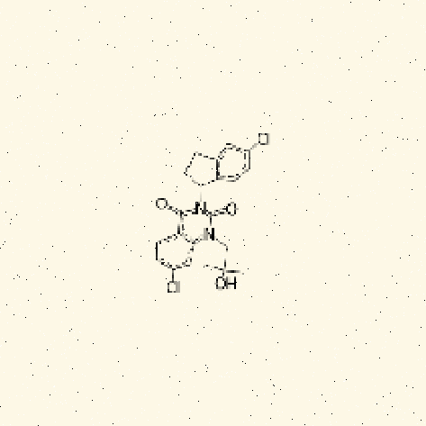 CC(C)(O)Cn1c(=O)n(C2CCc3cc(Cl)ccc32)c(=O)c2ccc(Cl)cc21